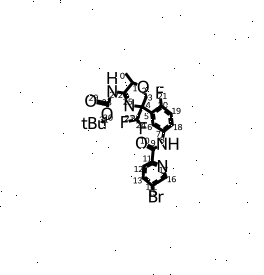 CC1OCC(c2cc(NC(=O)c3ccc(Br)cn3)ccc2F)(C(F)F)N=C1NC(=O)OC(C)(C)C